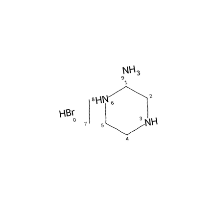 Br.C1CNCCN1.CC.N